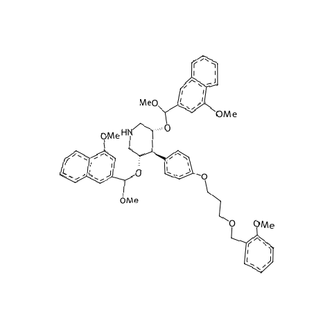 COc1ccccc1COCCCOc1ccc([C@@H]2[C@@H](OC(OC)c3cc(OC)c4ccccc4c3)CNC[C@H]2OC(OC)c2cc(OC)c3ccccc3c2)cc1